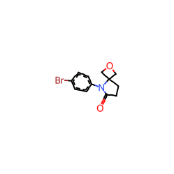 O=C1CCC2(COC2)N1c1ccc(Br)cc1